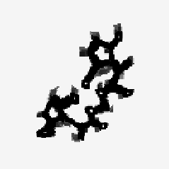 CC(C(=O)OSOC(=O)C(C)N1C(=O)CCC1=O)N1C(=O)CCC1=O